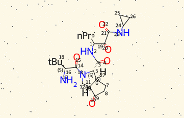 CCCC(NC(=O)[C@@H]1[C@H]2CCC(=O)[C@H]2CN1C(=O)[C@@H](N)C(C)(C)C)C(=O)C(=O)NC1CC1